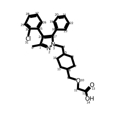 Cc1nn(CC2CCC(COCC(=O)O)CC2)c(-c2ccccc2)c1-c1ccccc1Cl